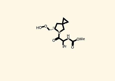 COC(=O)NC(C(=O)N1CC2(CC2)C[C@H]1COO)C(C)C